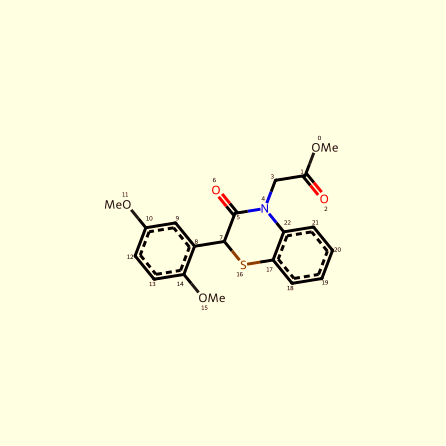 COC(=O)CN1C(=O)C(c2cc(OC)ccc2OC)Sc2ccccc21